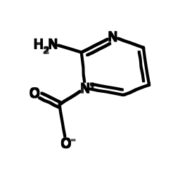 Nc1nccc[n+]1C(=O)[O-]